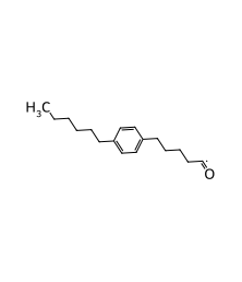 CCCCCCc1ccc(CCCC[C]=O)cc1